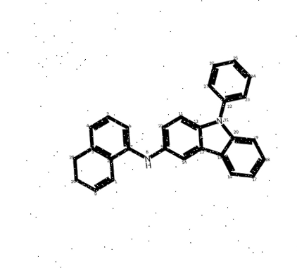 C1=Cc2c(cccc2Nc2ccc3c(c2)c2ccccc2n3-c2ccccc2)CC1